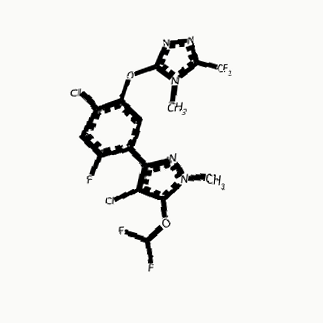 Cn1nc(-c2cc(Oc3nnc(C(F)(F)F)n3C)c(Cl)cc2F)c(Cl)c1OC(F)F